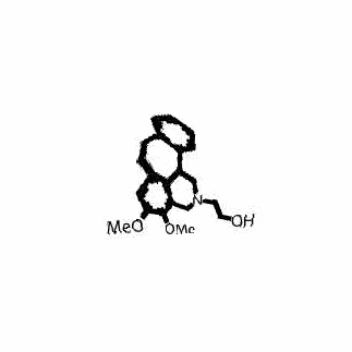 COc1cc2c3c(c1OC)CN(CCO)CC3c1ccccc1CC2